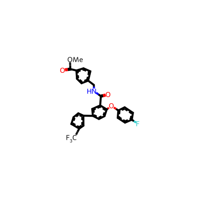 COC(=O)c1ccc(CNC(=O)c2cc(-c3cccc(C(F)(F)F)c3)ccc2Oc2ccc(F)cc2)cc1